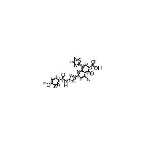 COc1ccc(C(=O)NC2CN(c3cc(C)c4c(=O)c(C(=O)O)cn(-c5ncns5)c4n3)C2)nc1